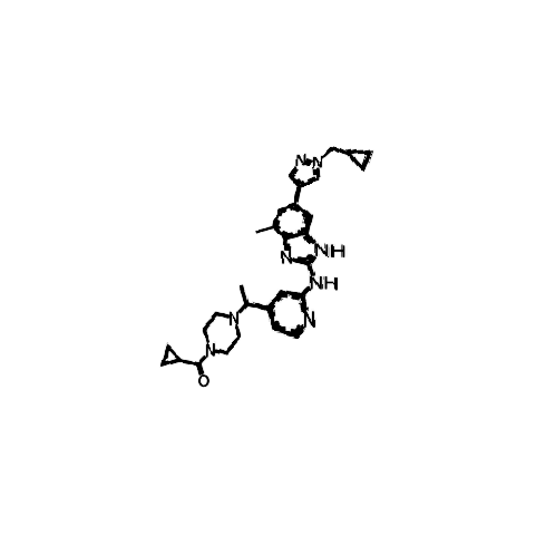 Cc1cc(-c2cnn(CC3CC3)c2)cc2[nH]c(Nc3cc(C(C)N4CCN(C(=O)C5CC5)CC4)ccn3)nc12